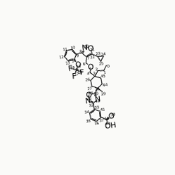 CCCC1(COCc2c(-c3ccccc3OC(F)(F)F)noc2C2CC2)CCC(C)(c2nc(-c3cccc(C(=O)O)c3)no2)CC1